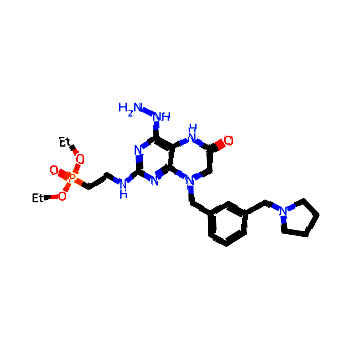 CCOP(=O)(CCNc1nc(NN)c2c(n1)N(Cc1cccc(CN3CCCC3)c1)CC(=O)N2)OCC